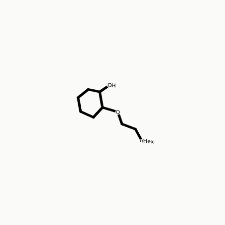 CCCCCCCCOC1CCCCC1O